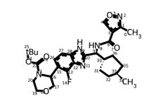 Cc1nocc1C(=O)N[C@H](c1nc2c(F)c(C3COCCN3C(=O)OC(C)(C)C)ccc2[nH]1)[C@H]1CC[C@H](C)CC1